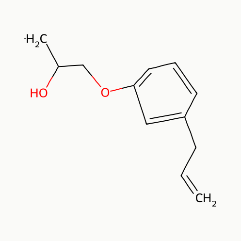 [CH2]C(O)COc1cccc(CC=C)c1